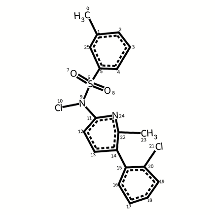 Cc1cccc(S(=O)(=O)N(Cl)c2ccc(-c3ccccc3Cl)c(C)n2)c1